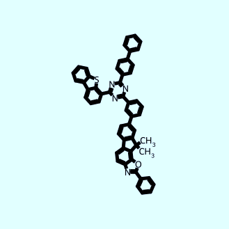 CC1(C)c2cc(-c3cccc(-c4nc(-c5ccc(-c6ccccc6)cc5)nc(-c5cccc6c5sc5ccccc56)n4)c3)ccc2-c2ccc3nc(-c4ccccc4)oc3c21